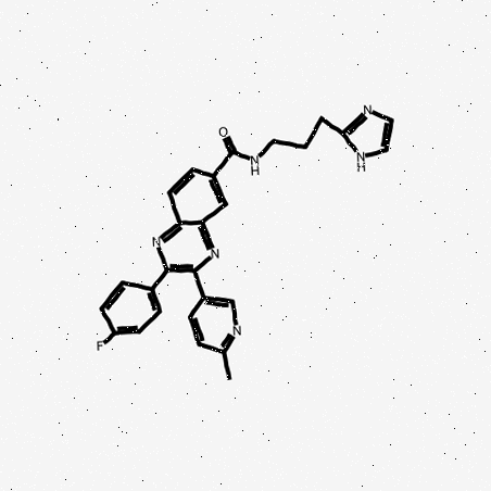 Cc1ccc(-c2nc3cc(C(=O)NCCCc4ncc[nH]4)ccc3nc2-c2ccc(F)cc2)cn1